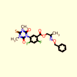 CC(COC(=O)c1cc(-n2c(=O)n(C)c(=S)n(C)c2=O)c(F)cc1F)=NOCc1ccccc1